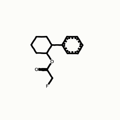 O=C(CF)OC1CCCCC1c1ccccc1